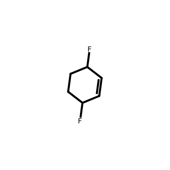 FC1C=CC(F)CC1